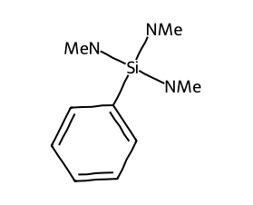 CN[Si](NC)(NC)c1ccccc1